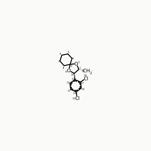 [CH2][C@H]1OC2(CCCCC2)O[C@@H]1c1ccc(Cl)cc1Cl